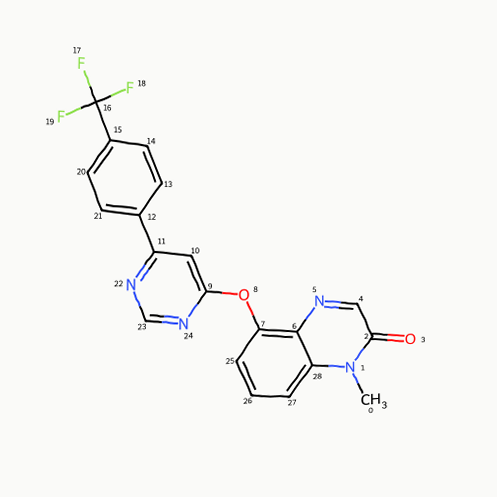 Cn1c(=O)cnc2c(Oc3cc(-c4ccc(C(F)(F)F)cc4)ncn3)cccc21